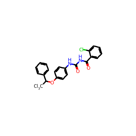 O=C(NC(=O)c1ccccc1Cl)Nc1ccc(OC(c2ccccc2)C(Cl)(Cl)Cl)cc1